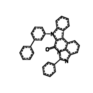 O=c1c2c(c3ccccc3n2-c2cccc(-c3ccccc3)c2)c2cccc3nc(-c4ccccc4)n1c32